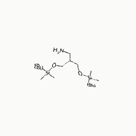 CC(C)(C)[Si](C)(C)OCC(CN)CO[Si](C)(C)C(C)(C)C